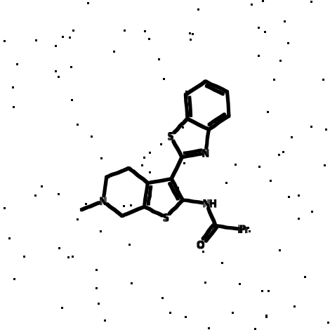 CC(C)C(=O)Nc1sc2c(c1-c1nc3ccccc3s1)CCN(C)C2